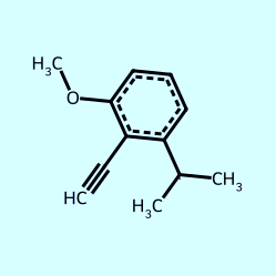 C#Cc1c(OC)cccc1[C](C)C